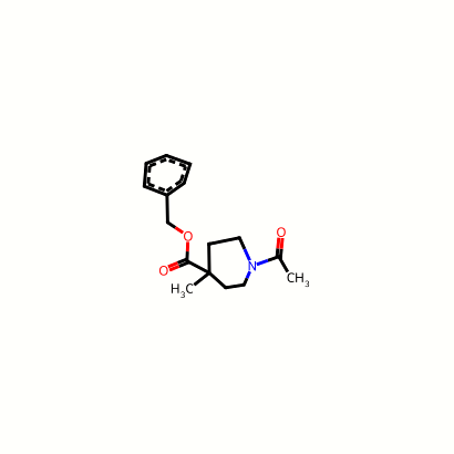 CC(=O)N1CCC(C)(C(=O)OCc2ccccc2)CC1